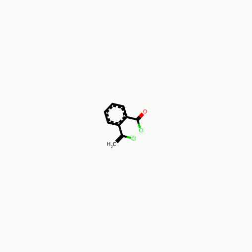 C=C(Cl)c1ccccc1C(=O)Cl